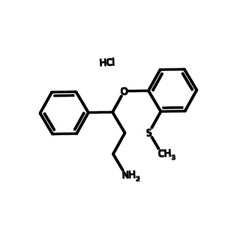 CSc1ccccc1OC(CCN)c1ccccc1.Cl